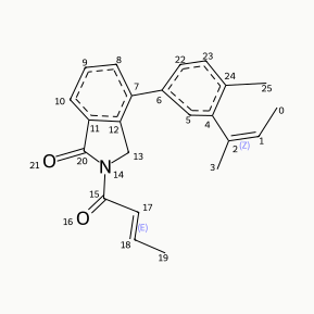 C/C=C(/C)c1cc(-c2cccc3c2CN(C(=O)/C=C/C)C3=O)ccc1C